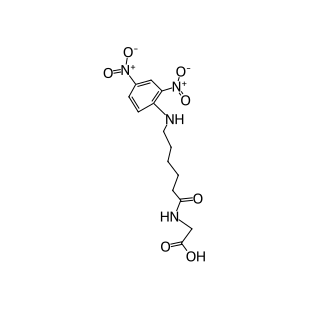 O=C(O)CNC(=O)CCCCCNc1ccc([N+](=O)[O-])cc1[N+](=O)[O-]